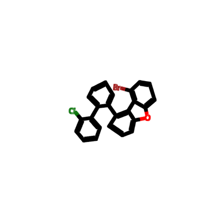 Clc1ccccc1-c1ccccc1-c1cccc2oc3cccc(Br)c3c12